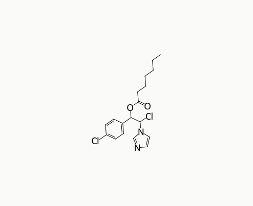 CCCCCCC(=O)OC(c1ccc(Cl)cc1)C(Cl)n1ccnc1